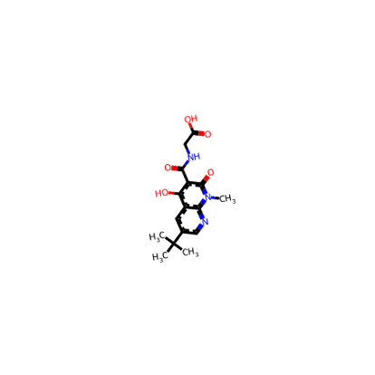 Cn1c(=O)c(C(=O)NCC(=O)O)c(O)c2cc(C(C)(C)C)cnc21